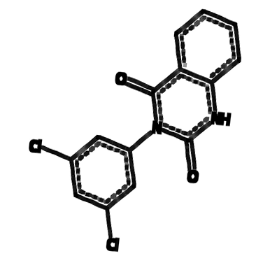 O=c1[nH]c2ccccc2c(=O)n1-c1cc(Cl)cc(Cl)c1